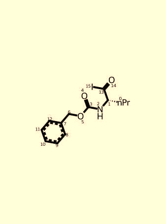 CCC[C@H](NC(=O)OCc1ccccc1)C(=O)I